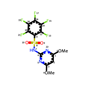 COc1cc(OC)nc(NS(=O)(=O)c2c(F)c(F)c(F)c(F)c2F)n1